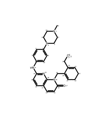 CN1CCN(c2ccc(Nc3ccc4ccc(=O)n(CC5=CCCC=C5CC(F)(F)F)c4n3)cc2)CC1